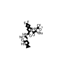 CC(C)(C)[C@H](NC(=O)C(F)(F)F)C(=O)N1CC2(CC1C(=O)N[C@H](C#N)C[C@@H]1CC3(CC3)NC1=O)CC(F)(F)C2